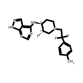 Cc1ccc(C(F)(F)CN2CC[C@H](Nc3ncnc4[nH]ncc34)[C@@H](F)C2)cc1